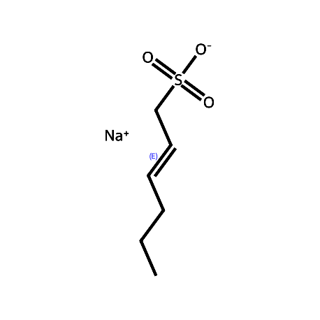 CCC/C=C/CS(=O)(=O)[O-].[Na+]